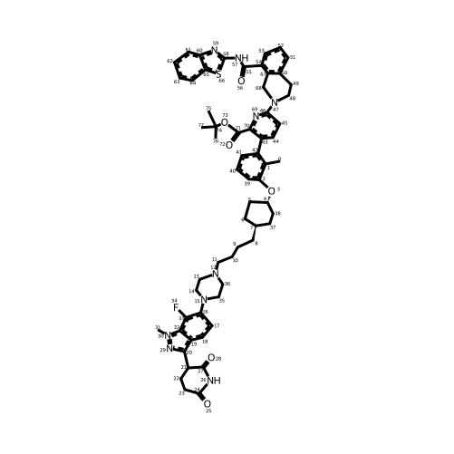 Cc1c(O[C@H]2CC[C@H](CCCCN3CCN(c4ccc5c(C6CCC(=O)NC6=O)nn(C)c5c4F)CC3)CC2)cccc1-c1ccc(N2CCc3cccc(C(=O)Nc4nc5ccccc5s4)c3C2)nc1C(=O)OC(C)(C)C